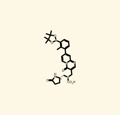 Cc1c(B2OC(C)(C)C(C)(C)O2)cccc1-c1ccn2c(=O)c(CN(C[C@@H]3CCC(=O)N3)C(=O)O)cnc2c1